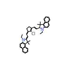 CCN1C(=CC=C2CCC(C=CC3N(CC)c4ccc5ccccc5c4C3(C)C)=C2Cl)C(C)(C)c2c1ccc1ccccc21